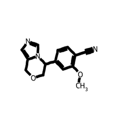 COc1cc(C2COCc3cncn32)ccc1C#N